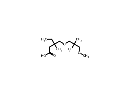 CCC(C)(COCC(C)(C)COC)CC(=O)O